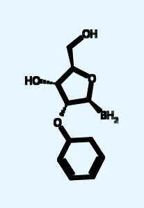 B[C@@H]1O[C@H](CO)[C@@H](O)[C@H]1OC1C=CC=CC1